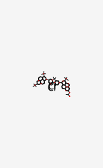 CC(C)Cc1cc2ccc3c(-c4cc(Cl)c5c(c4)C(C)(C)c4cc(-c6cc(C(C)(C)C)c7ccc8cc(C(C)(C)C)cc9ccc6c7c98)cc(Cl)c4-5)cc(C(C)(C)C)c4ccc(c1)c2c34